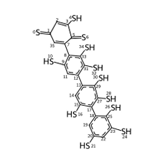 S=C1C=C(S)C(=S)C(c2c(S)cc(-c3cc(S)c(-c4cc(S)cc(S)c4S)c(S)c3S)c(S)c2S)=C1